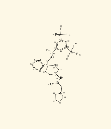 C[C@@H](OCC1(c2ccccc2)CC[C@H](NC(=O)CN2CCCC2)CN1)c1cc(C(F)(F)F)cc(C(F)(F)F)c1